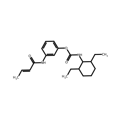 CC=CC(=O)Nc1cccc(OC(=O)NC2C(CC)CCCC2CC)c1